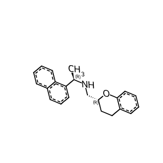 C[C@@H](NC[C@H]1CCc2ccccc2O1)c1cccc2ccccc12